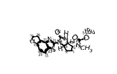 CN(C(=O)OC(C)(C)C)[C@@H]1CC[C@@H]2[C@H]1NC(=O)N2c1nc2c3c(ccc2s1)OCC3